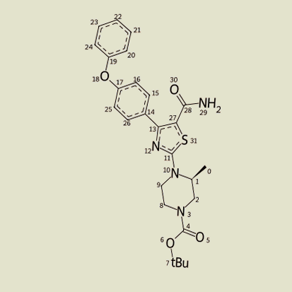 C[C@H]1CN(C(=O)OC(C)(C)C)CCN1c1nc(-c2ccc(Oc3ccccc3)cc2)c(C(N)=O)s1